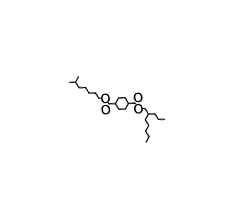 CCCCCC(CCC)COC(=O)C1CCC(C(=O)OCCCCCC(C)C)CC1